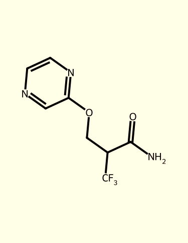 NC(=O)C(COc1cnccn1)C(F)(F)F